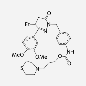 CCC1CC(=O)N(Cc2ccc(NC(=O)OCCCN3CCSCC3)cc2)N=C1c1ccc(OC)c(OC)c1